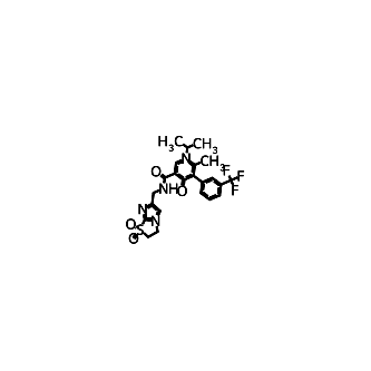 Cc1c(-c2cccc(C(F)(F)F)c2)c(=O)c(C(=O)NCc2cn3c(n2)S(=O)(=O)CC3)cn1C(C)C